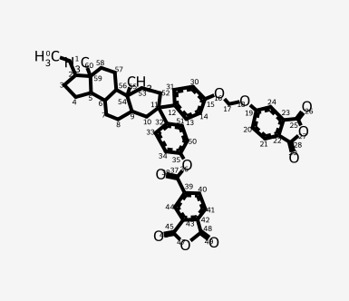 CCC1CCC2C3CCC4CC(c5ccc(OCOc6ccc7c(c6)C(=O)OC7=O)cc5)(c5ccc(OC(=O)c6ccc7c(c6)C(=O)OC7=O)cc5)CCC4(C)C3CCC12C